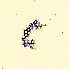 COC(=O)NC(C(=O)N1CCC[C@H]1c1ncc(-c2ccc3c(c2)CCc2cc(-c4cnc([C@@H]5C6CCC(C6)N5C(=O)[C@@H](NC(=O)OC)C(C)C)[nH]4)ccc2-3)[nH]1)C1CCOCC1